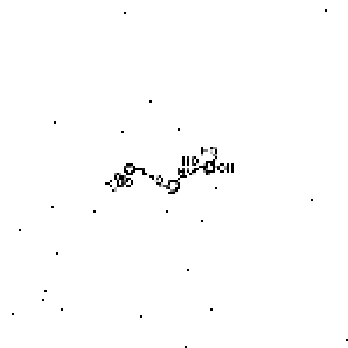 NS(=O)(=O)c1cccc(CCCCOCc2cccc(CCNC[C@@H](O)c3ccc(O)c(CO)c3)c2)c1